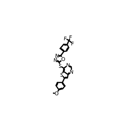 COc1ccc(-c2cc3ncnc(Sc4nnc(-c5ccc(C(F)(F)F)cc5)o4)c3s2)cc1